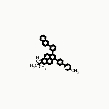 CC1C=NC(c2ccc(-c3cc(-c4cccc(-c5ccc6ccccc6c5)c4)c4ccc5cc(C(C)(C)C)cc6ccc3c4c65)cc2)=CC1